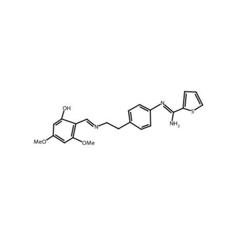 COc1cc(O)c(C=NCCc2ccc(N=C(N)c3cccs3)cc2)c(OC)c1